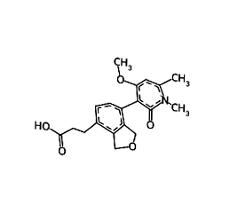 COc1cc(C)n(C)c(=O)c1-c1ccc(CCC(=O)O)c2c1COC2